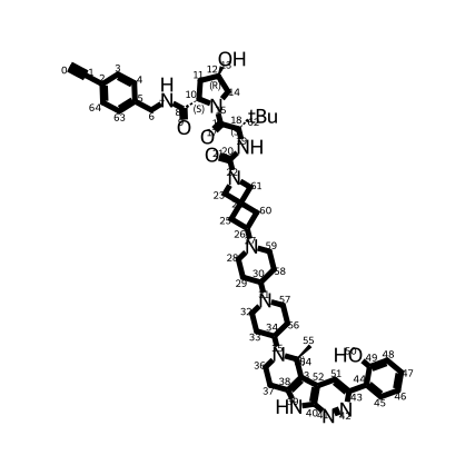 C#Cc1ccc(CNC(=O)[C@@H]2C[C@@H](O)CN2C(=O)[C@@H](NC(=O)N2CC3(CC(N4CCC(N5CCC(N6CCc7[nH]c8nnc(-c9ccccc9O)cc8c7[C@@H]6C)CC5)CC4)C3)C2)C(C)(C)C)cc1